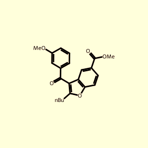 CCCCc1oc2ccc(C(=O)OC)cc2c1C(=O)c1cccc(OC)c1